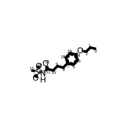 CCCOc1ccc(CCCC(=O)NS(C)(=O)=O)cc1